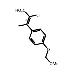 COCOc1ccc(/C(C)=C(\Cl)C(=O)O)cc1